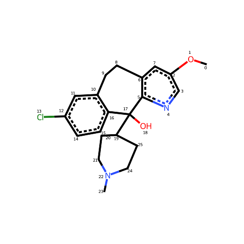 COc1cnc2c(c1)CCc1cc(Cl)ccc1C2(O)C1CCN(C)CC1